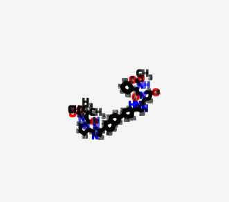 COC(=O)NC(C(=O)N1CC(=O)CC1c1ncc(-c2ccc(-c3ccc4cc(-c5cnc(C6CCCN6C(=O)C(NC(=O)OC)C(C)C)[nH]5)ccc4c3)cc2)[nH]1)c1ccccc1